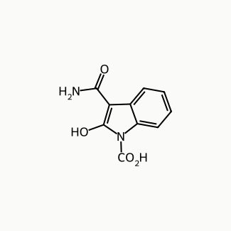 NC(=O)c1c(O)n(C(=O)O)c2ccccc12